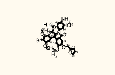 COC(=O)c1c(-c2cc(OC)c(Br)c(OC)c2)c2cc(OC)c(OCc3ccco3)cc2c(=O)n1-c1ccc(N)cc1.Cl